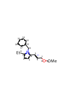 CCc1ccc(/C=C/COOC)n1Cc1ccccc1